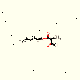 CCCCC=COC(=O)C(C)C(C)=O